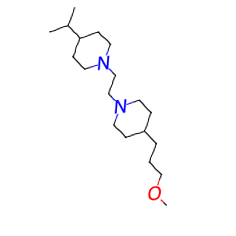 COCCCC1CCN(CCN2CCC(C(C)C)CC2)CC1